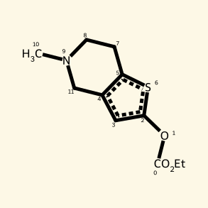 CCOC(=O)Oc1cc2c(s1)CCN(C)C2